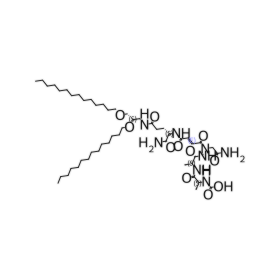 CCCCCCCCCCCCCCOC[C@H](CNC(=O)CC[C@H](NC(=O)/C=C/C(=O)N(CC(N)=O)NC(=O)[C@H](C)NC(=O)[C@H](C)NC(=O)O)C(N)=O)OCCCCCCCCCCCCCC